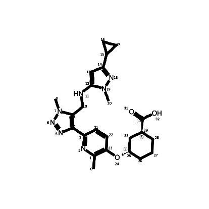 Cc1nc(-c2nnn(C)c2CNc2cc(C3CC3)nn2C)ccc1O[C@H]1CCC[C@H](C(=O)O)C1